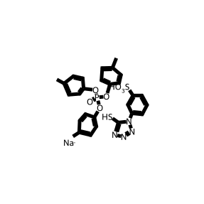 Cc1ccc(OP(=O)(Oc2ccc(C)cc2)Oc2ccc(C)cc2)cc1.O=S(=O)(O)c1cccc(-n2nnnc2S)c1.[Na]